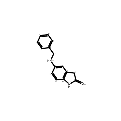 O=C1Cc2cc(NCc3ccccc3)ccc2N1